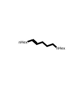 [CH2]CCCCCCCC/C=C/CCCCCC